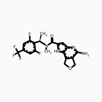 C[C@H](c1c(F)cc(C(F)(F)F)cc1F)N(C)C(=O)c1cc2nc(N)c3c(c2[nH]1)COC3